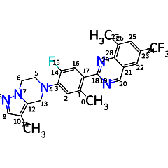 Cc1cc(N2CCn3ncc(C)c3C2)c(F)cc1-c1ncc2cc(C(F)(F)F)cc(C)c2n1